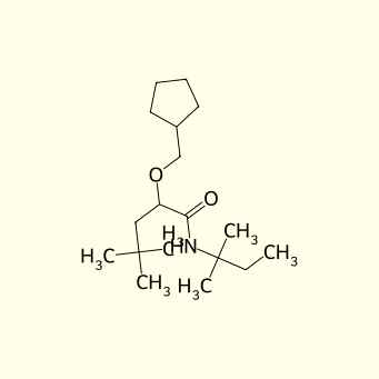 CCC(C)(C)NC(=O)C(CC(C)(C)C)OCC1CCCC1